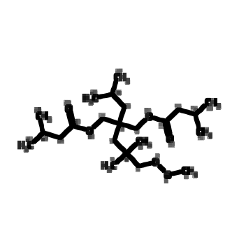 COOCC(C)(C)CC(COC(=O)CC(C)C)(COC(=O)CC(C)C)CC(C)C